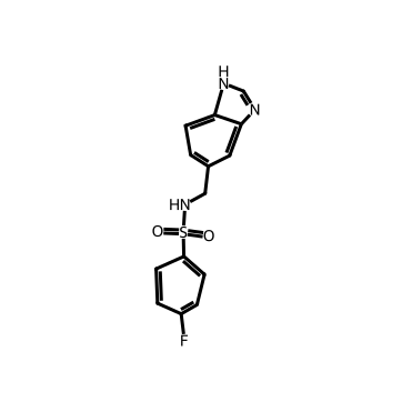 O=S(=O)(NCc1ccc2[nH]cnc2c1)c1ccc(F)cc1